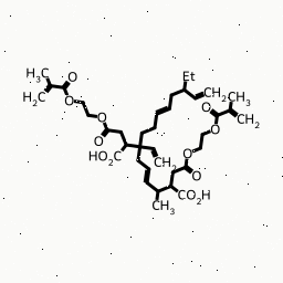 C=CC(CC)C/C=C/CCC(C=C)(C/C=C/C(C)C(CC(=O)OCCOC(=O)C(=C)C)C(=O)O)C(CC(=O)OCCOC(=O)C(=C)C)C(=O)O